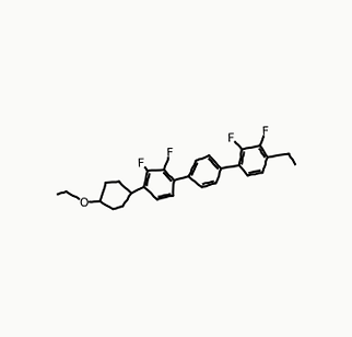 CCOC1CCC(c2ccc(-c3ccc(-c4ccc(CC)c(F)c4F)cc3)c(F)c2F)CC1